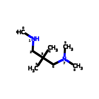 [CH]NCC(C)(C)CN(C)C